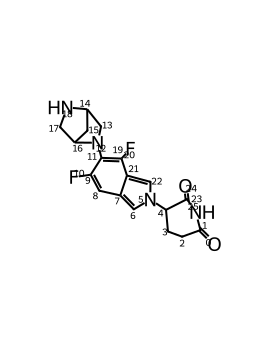 O=C1CCC(n2cc3cc(F)c(N4CC5CC4CN5)c(F)c3c2)C(=O)N1